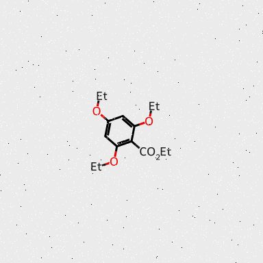 CCOC(=O)c1c(OCC)cc(OCC)cc1OCC